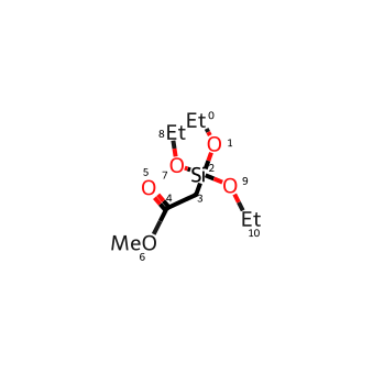 CCO[Si](CC(=O)OC)(OCC)OCC